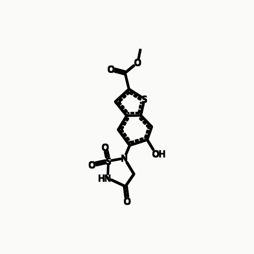 COC(=O)c1cc2cc(N3CC(=O)NS3(=O)=O)c(O)cc2s1